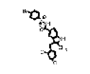 Cc1[nH]c2ccc(C(=O)NS(=O)(=O)c3ccc(Br)cc3)cc2c1Cc1ccc(Cl)cc1Cl